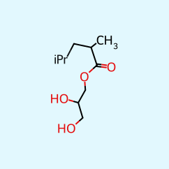 CC(C)CC(C)C(=O)OCC(O)CO